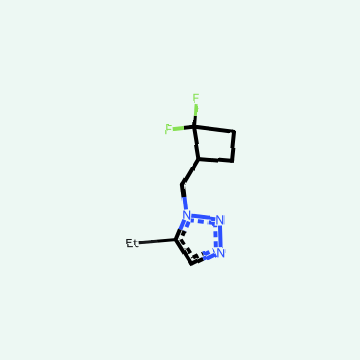 CCc1cnnn1CC1CCC1(F)F